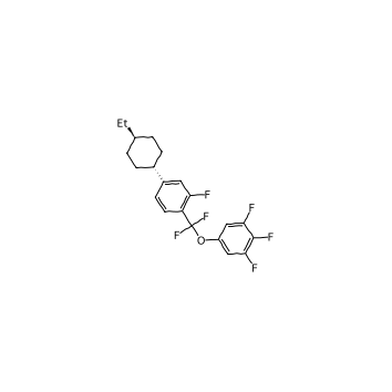 CC[C@H]1CC[C@H](c2ccc(C(F)(F)Oc3cc(F)c(F)c(F)c3)c(F)c2)CC1